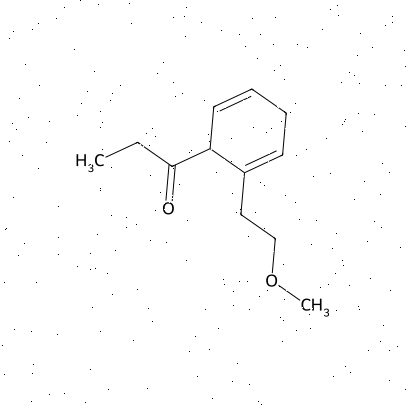 CCC(=O)C1C=CCC=C1CCOC